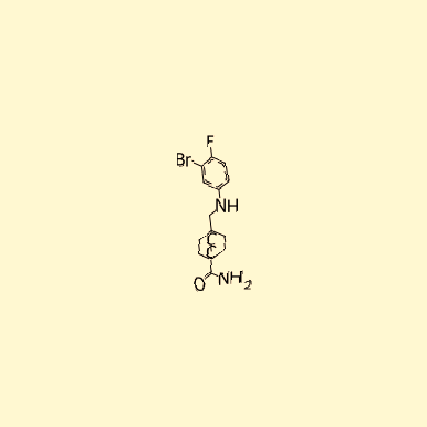 NC(=O)C12CCC(CNc3ccc(F)c(Br)c3)(CC1)CC2